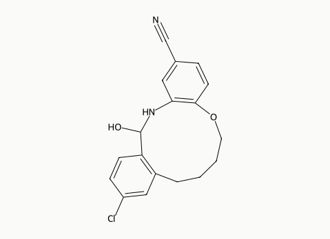 N#Cc1ccc2c(c1)NC(O)c1ccc(Cl)cc1CCCCO2